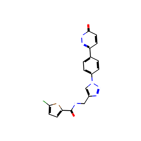 O=C(NCc1cn(-c2ccc(-c3ccc(=O)[nH]n3)cc2)nn1)c1ccc(Cl)s1